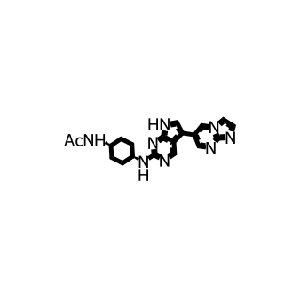 CC(=O)N[C@H]1CC[C@@H](Nc2ncc3c(-c4cnc5nccn5c4)c[nH]c3n2)CC1